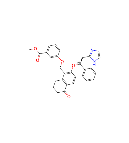 COC(=O)c1cccc(OCc2c(O[C@@H](Cc3ncc[nH]3)c3ccccc3)ccc3c2CCCC3=O)c1